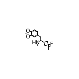 CNC(Cc1ccc2c(c1)OCO2)C1CC(F)(F)C1